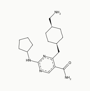 NC[C@H]1CC[C@@H](Cc2nc(NC3CCCC3)ncc2C(N)=O)CC1